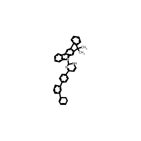 CC1(C)c2ccccc2-c2cc3c4ccccc4n(C4N=C(c5ccc(-c6cccc(C7=CC=CCC7)c6)cc5)C=CN4)c3cc21